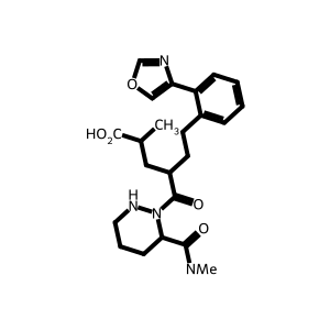 CNC(=O)C1CCCNN1C(=O)C(CCc1ccccc1-c1cocn1)CC(C)C(=O)O